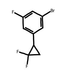 Fc1cc(Br)cc(C2CC2(F)F)c1